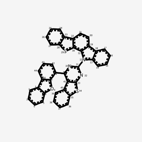 c1ccc2c(c1)oc1c(-c3nc(-n4c5ccccc5c5ccc6c7ccccc7sc6c54)nc4sc5ccccc5c34)cccc12